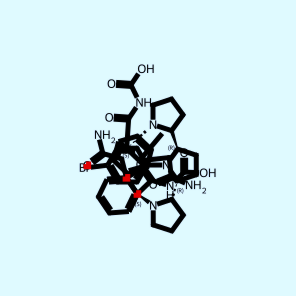 CC1(CC(N)=O)c2ccc(cc2)[C@]1(C(=O)NC(=O)O)N1CCCC1[C@H]1CC[C@H](C2CCCN2[C@@]2(C(=O)NC(=O)O)c3ccc(cc3)C2(C)CC(N)=O)N1c1ccc(Br)cc1